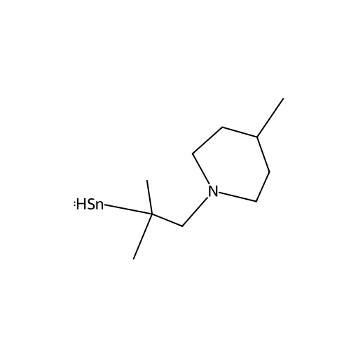 CC1CCN(C[C](C)(C)[SnH])CC1